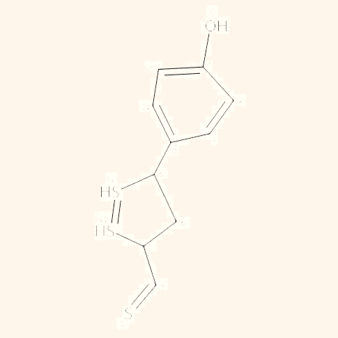 Oc1ccc(C2CC(C=S)[SH]=[SH]2)cc1